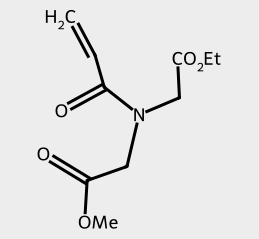 C=CC(=O)N(CC(=O)OC)CC(=O)OCC